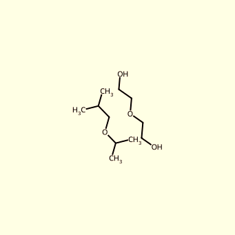 CC(C)COC(C)C.OCCOCCO